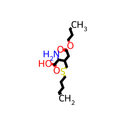 C=CCCCSCC(CC(=O)OCCCC)[C@H](N)C(=O)O